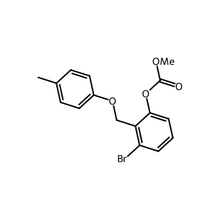 COC(=O)Oc1cccc(Br)c1COc1ccc(C)cc1